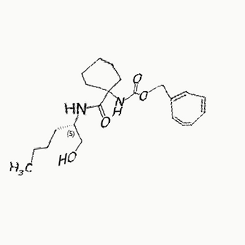 CCCC[C@@H](CO)NC(=O)C1(NC(=O)OCc2ccccc2)CCCCC1